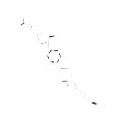 C#CCOCCP1(=O)CCC(c2c(F)cc(N3C[C@H](CNC(C)=O)OC3=O)cc2F)CC1